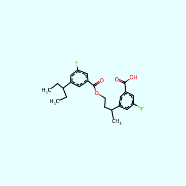 CCC(CC)c1cc(F)cc(C(=O)OCCC(C)c2cc(F)cc(C(=O)O)c2)c1